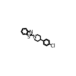 Clc1ccc(C2CCN(c3nc4ccccc4s3)CC2)cc1